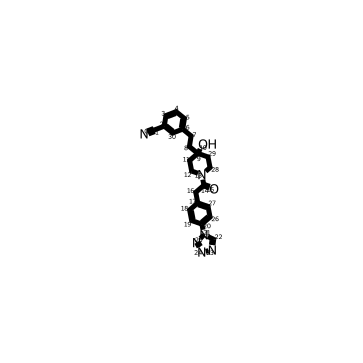 N#Cc1cccc(CCC2(O)CCN(C(=O)Cc3ccc(-n4cnnn4)cc3)CC2)c1